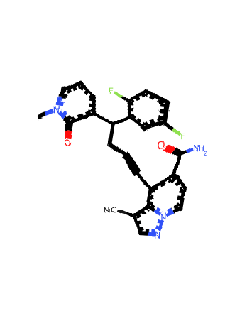 Cn1cccc(C(CC#Cc2c(C(N)=O)ccn3ncc(C#N)c23)c2cc(F)ccc2F)c1=O